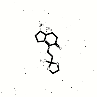 CC1(CCC2=C3CC[C@H](O)[C@@]3(C)CCC2=O)OCCO1